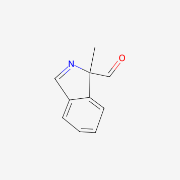 CC1(C=O)N=Cc2ccccc21